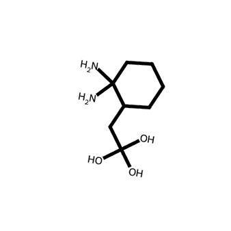 NC1(N)CCCCC1CC(O)(O)O